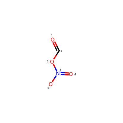 O=[C]O[N+](=O)[O-]